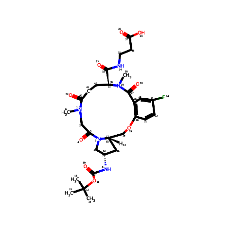 CN1CC(=O)N2C[C@@H](NC(=O)OC(C)(C)C)C[C@H]2COc2ccc(F)cc2C(=O)N(C)[C@H](C(=O)NCCC(=O)O)CCC1=O